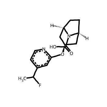 CC(F)c1ccnc(O[C@H]2C[C@H]3CC[C@@H](C2)N3C(=O)O)c1